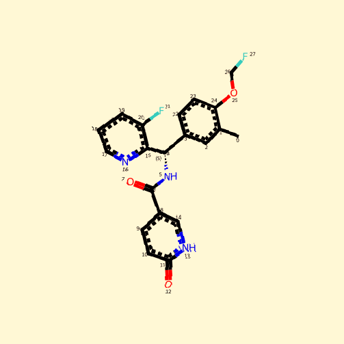 Cc1cc([C@H](NC(=O)c2ccc(=O)[nH]c2)c2ncccc2F)ccc1OCF